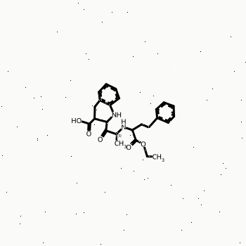 CCOC(=O)C(CCc1ccccc1)N[C@@H](C)C(=O)C1Nc2ccccc2CC1C(=O)O